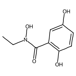 CCN(O)C(=O)c1cc(O)ccc1O